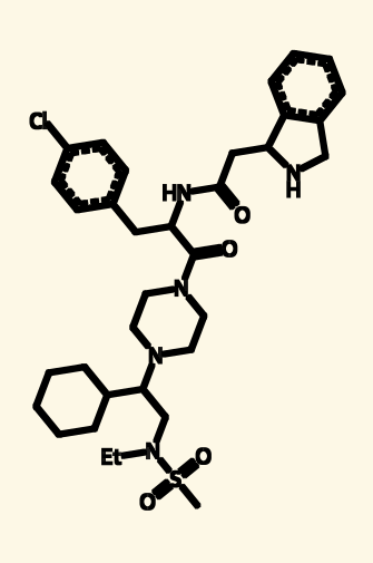 CCN(CC(C1CCCCC1)N1CCN(C(=O)C(Cc2ccc(Cl)cc2)NC(=O)CC2NCc3ccccc32)CC1)S(C)(=O)=O